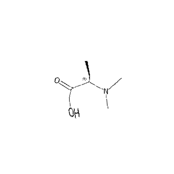 C[C@H](C(=O)O)N(C)C